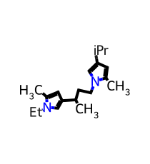 CCn1cc(C(C)CCn2cc(C(C)C)cc2C)cc1C